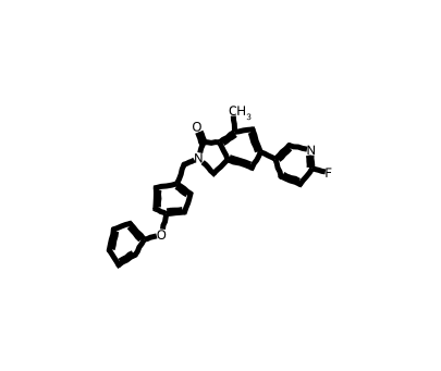 Cc1cc(-c2ccc(F)nc2)cc2c1C(=O)N(Cc1ccc(Oc3ccccc3)cc1)C2